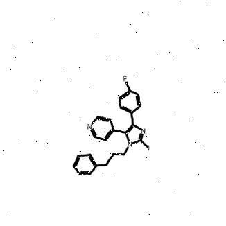 Fc1ccc(-c2nc(I)n(CCCc3ccccc3)c2-c2ccncc2)cc1